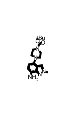 Cn1cc2c(N3CCN(C(=O)OC(C)(C)C)CC3)ccc(N)c2n1